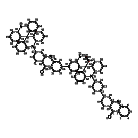 O=c1c2ccccc2sc2cc(-c3ccc(N4c5ccccc5C5(c6ccccc6Sc6cc(-c7ccc8c(=O)c9ccc(N%10c%11ccccc%11C%11(c%12ccccc%12Sc%12ccccc%12%11)c%11ccccc%11%10)cc9sc8c7)ccc65)c5ccccc54)cc3)ccc12